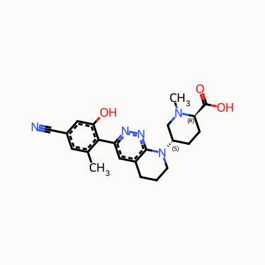 Cc1cc(C#N)cc(O)c1-c1cc2c(nn1)N([C@H]1CC[C@H](C(=O)O)N(C)C1)CCC2